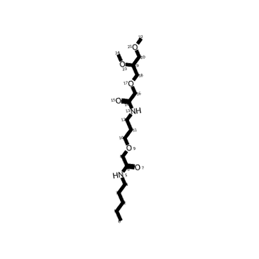 CCCCCNC(=O)COCCCNC(=O)COCC(COC)OC